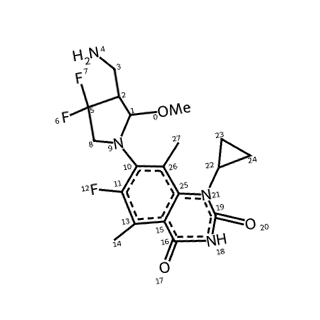 COC1C(CN)C(F)(F)CN1c1c(F)c(C)c2c(=O)[nH]c(=O)n(C3CC3)c2c1C